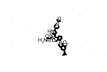 CC(=O)OCc1c(-c2nc(CC(N)=O)nc3[nH]c(C4=CCN(C5COC5)CC4)cc23)cccc1-n1ccc2cc(C3CC3)cc(F)c2c1=O